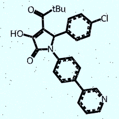 CC(C)(C)C(=O)C1=C(O)C(=O)N(c2ccc(-c3cccnc3)cc2)C1c1ccc(Cl)cc1